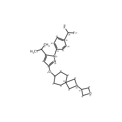 CC(C)c1cc(OC2CCC3(CC2)CN(C2COC2)C3)nn1-c1ccc(C(F)F)cc1